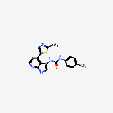 Cc1ncc(-c2ccnc3[nH]cc(NC(=O)Nc4ccc(C(F)(F)F)cc4)c23)s1